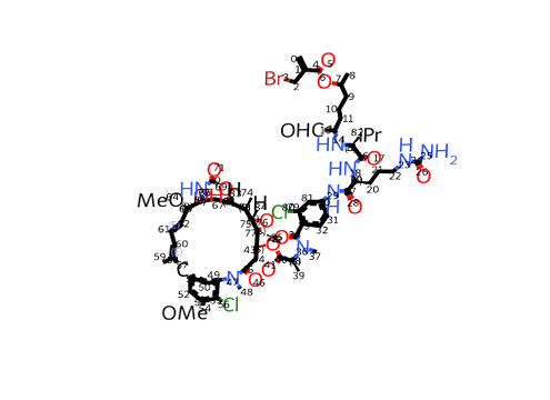 C=C(CBr)C(=O)OC(C)CCCC(C=O)N[C@H](C(=O)N[C@@H](CCCNC(N)=O)C(=O)Nc1ccc(C(=O)N(C)[C@@H](C)C(=O)O[C@H]2CC(=O)N(C)c3cc(cc(OC)c3Cl)C/C(C)=C/C=C/[C@@H](OC)[C@@]3(O)C[C@H](OC(=O)N3)[C@@H](C)[C@@H]3O[C@@]23C)c(Cl)c1)C(C)C